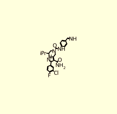 CC(C)C1CN(C(=O)Nc2ccc(C=N)cc2)Cc2c(C(N)=O)c(-c3ccc(F)c(Cl)c3)nn21